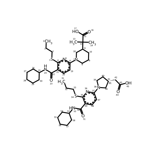 CCCSc1nc(N2CCCC(C(C)(C)C(=O)O)C2)ccc1C(=O)NC1CCCCC1.CCCSc1nc(N2CC[C@H](CC(=O)O)C2)ccc1C(=O)NC1CCCCC1